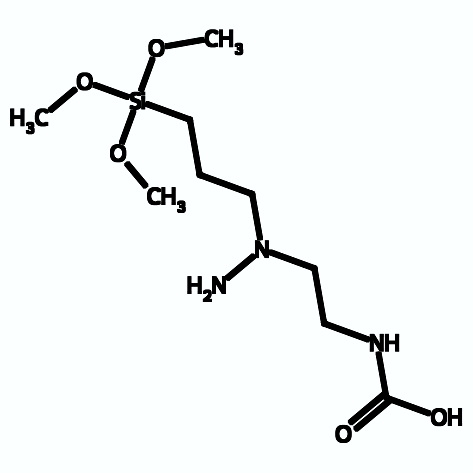 CO[Si](CCCN(N)CCNC(=O)O)(OC)OC